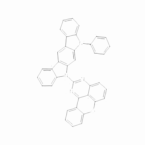 c1ccc(-n2c3ccccc3c3cc4c5ccccc5n(-c5nc6c7c(cccc7n5)Oc5ccccc5-6)c4cc32)cc1